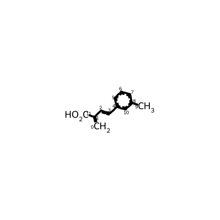 C=C(C=Cc1cccc(C)c1)C(=O)O